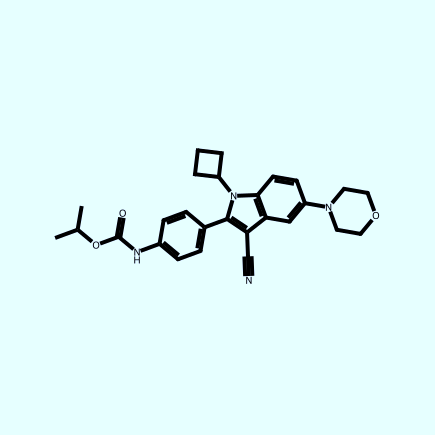 CC(C)OC(=O)Nc1ccc(-c2c(C#N)c3cc(N4CCOCC4)ccc3n2C2CCC2)cc1